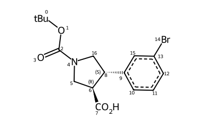 CC(C)(C)OC(=O)N1C[C@H](C(=O)O)[C@@H](c2cccc(Br)c2)C1